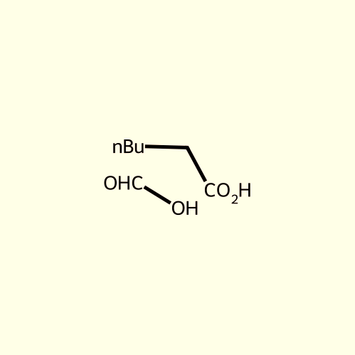 CCCCCC(=O)O.O=CO